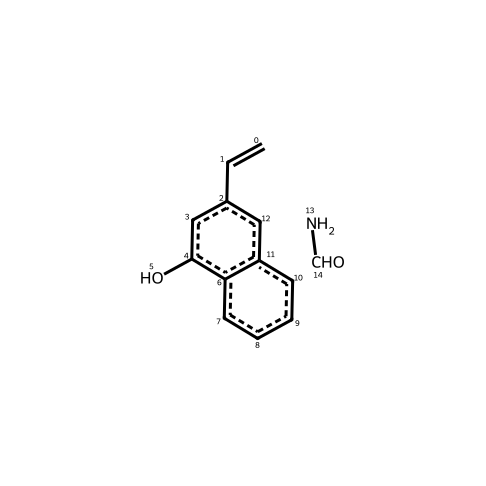 C=Cc1cc(O)c2ccccc2c1.NC=O